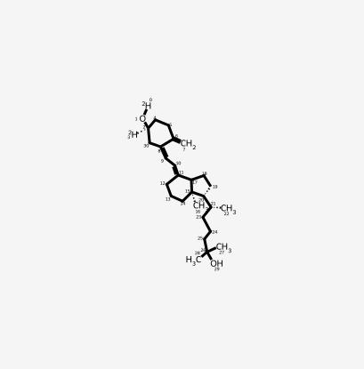 [2H]O[C@@]1([2H])CCC(=C)/C(=C\C=C2CCC[C@@]3(C)C2CC[C@@H]3[C@H](C)CCCC(C)(C)O)C1